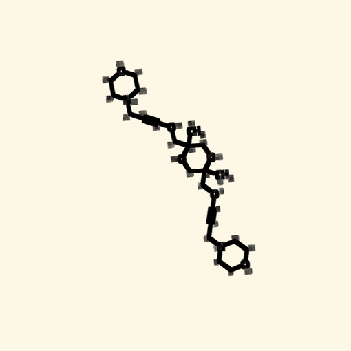 CC1(COC#CCN2CCOCC2)COC(C)(COC#CCN2CCOCC2)CO1